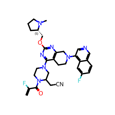 C=C(F)C(=O)N1CCN(c2nc(OC[C@@H]3CCCN3C)nc3c2CCN(c2cncc4ccc(F)cc24)C3)CC1CC#N